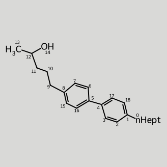 CCCCCCCc1ccc(-c2ccc(CCCC(C)O)cc2)cc1